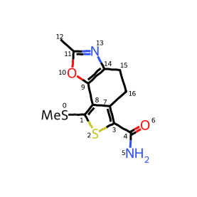 CSc1sc(C(N)=O)c2c1-c1oc(C)nc1CC2